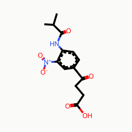 CC(C)C(=O)Nc1ccc(C(=O)CCC(=O)O)cc1[N+](=O)[O-]